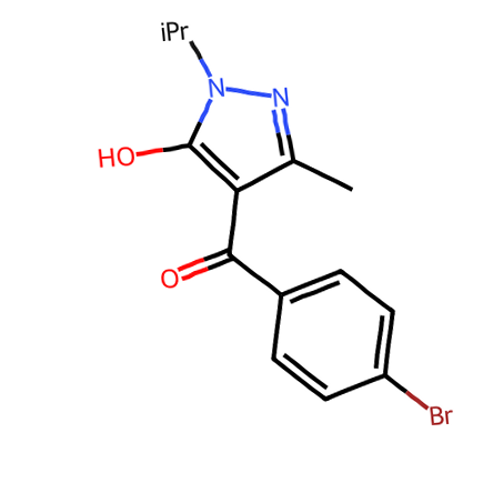 Cc1nn(C(C)C)c(O)c1C(=O)c1ccc(Br)cc1